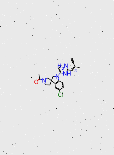 C#C/C(C)=C\C(N)NC(=CC)N1CC2(CCN(C(C)=O)C2)c2cc(Cl)ccc21